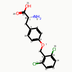 N[C@H](Cc1ccc(OCc2c(Cl)cccc2Cl)cc1)C(=O)O